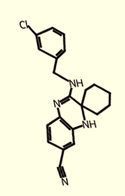 N#Cc1ccc2c(c1)NC1(CCCCC1)C(NCc1cccc(Cl)c1)=N2